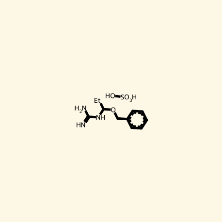 CCC(NC(=N)N)OCc1ccccc1.O=S(=O)(O)O